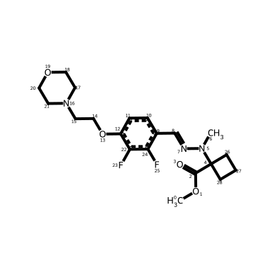 COC(=O)C1(N(C)N=Cc2ccc(OCCN3CCOCC3)c(F)c2F)CCC1